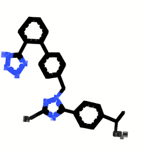 CC(C)c1nc(-c2ccc(C(C)C(=O)O)cc2)n(Cc2ccc(-c3ccccc3-c3nnn[nH]3)cc2)n1